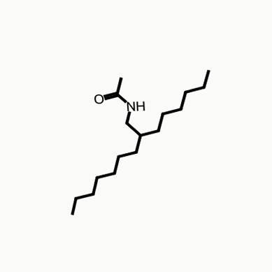 CCCCCCCC(CCCCCC)CNC(C)=O